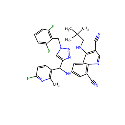 Cc1nc(F)ccc1C(Nc1cc(C#N)c2ncc(C#N)c(NCC(C)(C)C)c2c1)c1cn(Cc2c(F)cccc2F)nn1